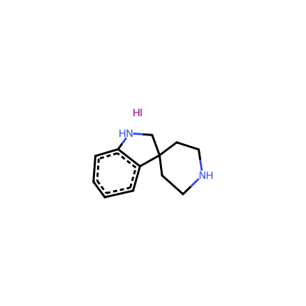 I.c1ccc2c(c1)NCC21CCNCC1